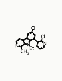 CCn1c2c(-c3cccnc3Cl)cc(Cl)cc2c2ccnc(C)c21